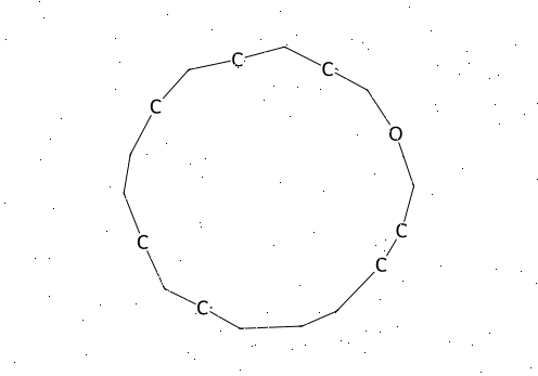 [CH]1CCCCCCCC[CH]COCCCCCC1